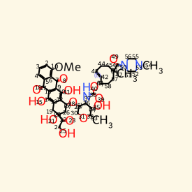 COc1cccc2c1C(=O)c1c(O)c3c(c(O)c1C2=O)C[C@@](O)(C(=O)CO)C[C@@H]3O[C@@H]1COC(C)[C@@H](O)C1NC(=O)O[C@@H]1/C=C/CC[C@](C)(C(=O)N2CCN(C)CC2)CC1